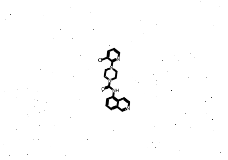 O=C(Nc1cccc2cnccc12)N1CCN(c2ncccc2Cl)CC1